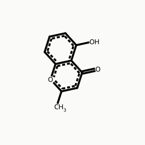 Cc1cc(=O)c2c(O)cccc2o1